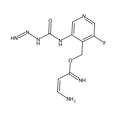 N=NNC(=O)Nc1cncc(F)c1COC(=N)/C=C\N